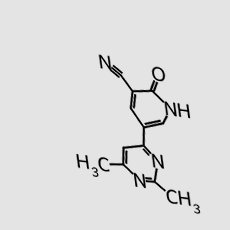 Cc1cc(-c2c[nH]c(=O)c(C#N)c2)nc(C)n1